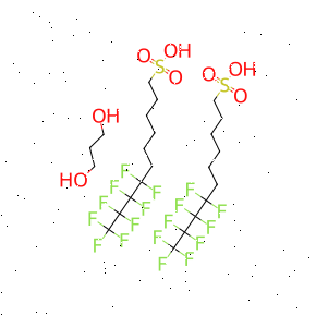 O=S(=O)(O)CCCCCCC(F)(F)C(F)(F)C(F)(F)C(F)(F)F.O=S(=O)(O)CCCCCCC(F)(F)C(F)(F)C(F)(F)C(F)(F)F.OCCCO